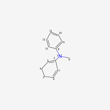 CN(C1=CCCC=C1)c1ccccc1